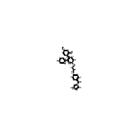 Fc1ccc(C2=C(c3ccccc3)NC(OCCOc3ccc(CN4C=CNC4)cc3)C=C2)c(F)c1